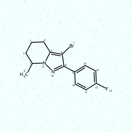 CC1CCCc2c(Br)c(-c3ccc(F)cc3)nn21